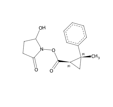 C[C@@]1(c2ccccc2)C[C@H]1C(=O)ON1C(=O)CCC1O